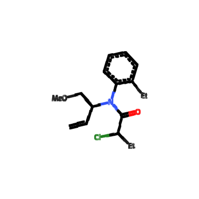 C=CC(COC)N(C(=O)C(Cl)CC)c1ccccc1CC